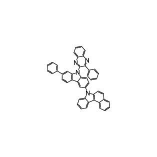 c1ccc(-c2ccc3c4cc(-n5c6ccccc6c6c7ccccc7ccc65)ccc4n(-c4nc5ccccc5nc4-c4ccccc4)c3c2)cc1